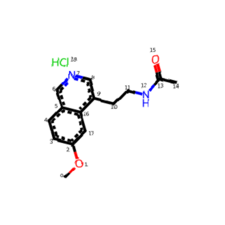 COc1ccc2cncc(CCNC(C)=O)c2c1.Cl